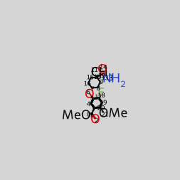 COC(=O)c1cc(O[C@H]2CC[C@@](C)(C(N)=O)CC2)c(F)cc1OC